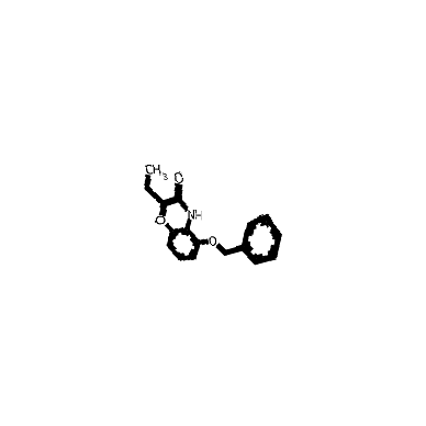 CCC1Oc2cccc(OCc3ccccc3)c2NC1=O